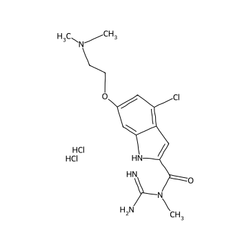 CN(C)CCOc1cc(Cl)c2cc(C(=O)N(C)C(=N)N)[nH]c2c1.Cl.Cl